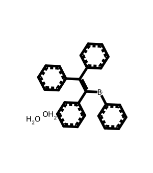 O.O.[B](C(=C(c1ccccc1)c1ccccc1)c1ccccc1)c1ccccc1